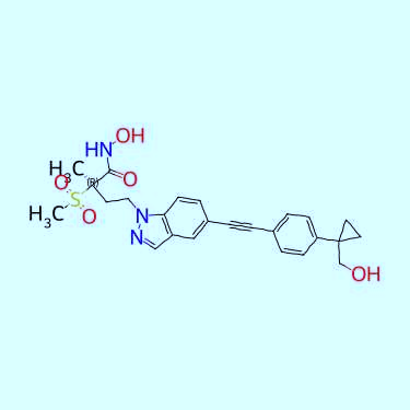 C[C@@](CCn1ncc2cc(C#Cc3ccc(C4(CO)CC4)cc3)ccc21)(C(=O)NO)S(C)(=O)=O